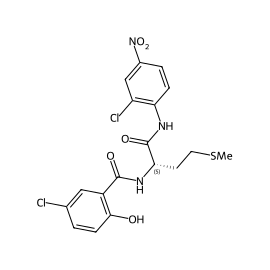 CSCC[C@H](NC(=O)c1cc(Cl)ccc1O)C(=O)Nc1ccc([N+](=O)[O-])cc1Cl